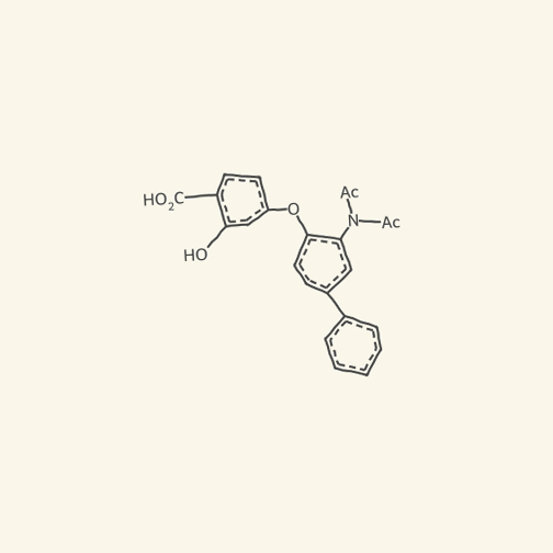 CC(=O)N(C(C)=O)c1cc(-c2ccccc2)ccc1Oc1ccc(C(=O)O)c(O)c1